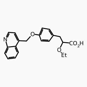 CCOC(Cc1ccc(OCc2ccnc3ccccc23)cc1)C(=O)O